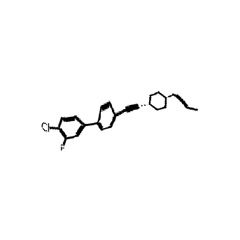 CC=C[C@H]1CC[C@H](C#Cc2ccc(-c3ccc(Cl)c(F)c3)cc2)CC1